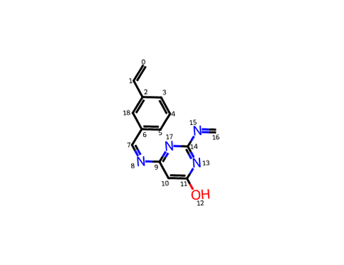 C=Cc1cccc(/C=N\c2cc(O)nc(N=C)n2)c1